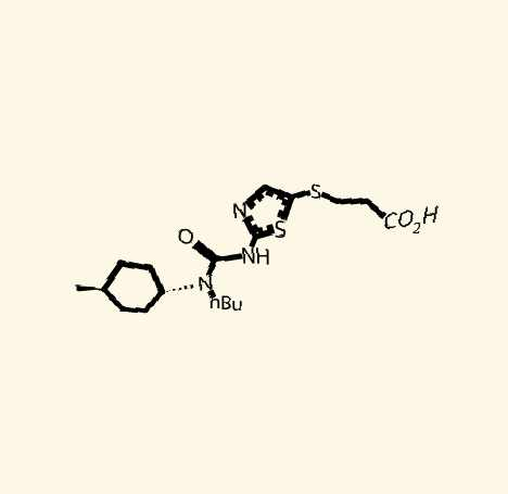 CCCCN(C(=O)Nc1ncc(SCCC(=O)O)s1)[C@H]1CC[C@H](C)CC1